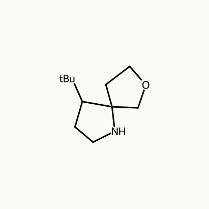 CC(C)(C)C1CCNC12CCOC2